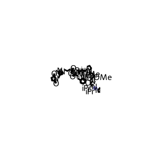 CC[C@H](C)[C@@H]([C@@H](CC(=O)N1CCC[C@H]1[C@H](OC)[C@@H](C)C(=O)N[C@@H](Cc1ccccc1)C(=O)NS(=O)(=O)CCCn1cc(CN2C(=O)C=CC2=O)nn1)OC)N(C)C(=O)[C@@H](/N=C(\C(C)C)N(C)C)C(C)C